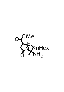 CCCCCC[C@@H](CC)C(C)(N)N1CC(C(=O)OC)CC1=O